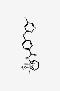 C[C@H]1[C@H](NC(=O)c2ccc(Sc3cncc(Cl)c3)cc2)C2CCN1CC2